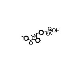 Cc1ccc(C(=O)C2c3ccccc3N(Cc3ccc(CO[C@H](C)C(=O)O)cc3)C2C)cc1